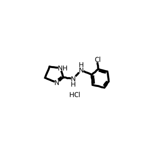 Cl.Clc1ccccc1NNC1=NCCN1